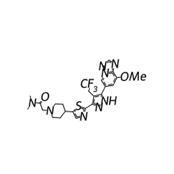 COc1cc(-c2[nH]nc(-c3ncc(C4CCN(CC(=O)N(C)C)CC4)s3)c2CC(F)(F)F)cn2ncnc12